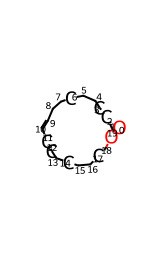 O=C1CCCCCCC/C=C\CCCCCCCCO1